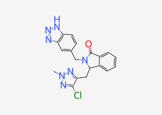 Cn1nc(Cl)c(CC2c3ccccc3C(=O)N2Cc2ccc3[nH]nnc3c2)n1